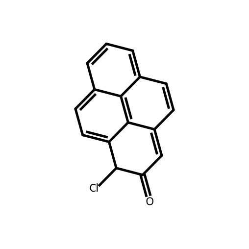 O=C1C=c2ccc3cccc4ccc(c2c43)C1Cl